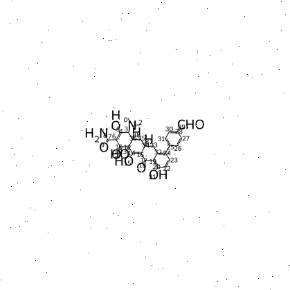 CN(C)[C@@H]1C(O)=C(C(N)=O)C(=O)[C@@]2(O)C(O)=C3C(=O)c4c(O)ccc(-c5ccc(C=O)cc5)c4C[C@H]3C[C@@H]12